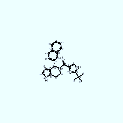 CC(C)(F)c1ncc(C(=O)N2CCc3[nH]cnc3[C@@H]2c2cc3ccccc3cn2)o1